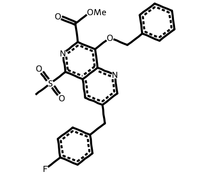 COC(=O)c1nc(S(C)(=O)=O)c2cc(Cc3ccc(F)cc3)cnc2c1OCc1ccccc1